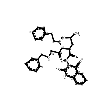 CC(C)CC(C(=O)Nn1c(=O)[nH]c2ccccc2c1=O)[C@@H](CCCc1ccccc1)C(=O)NOCc1ccccc1